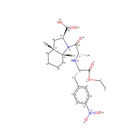 CCOC(=O)[C@H](Cc1ccc([N+](=O)[O-])cc1)N[C@@H](C)C(=O)N1[C@@H]2CCCC[C@@H]2C[C@H]1C(=O)O